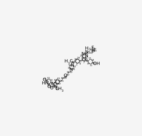 C[C@H](c1ccc(-c2cn([C@H]3CC[C@H](O)CC3)c3nc(NCCC(F)(F)F)ncc23)cc1)N1CCN(CCCOCCCc2ccc3c(c2)n(C)c(=O)n3C2CCC(=O)NC2=O)CC1